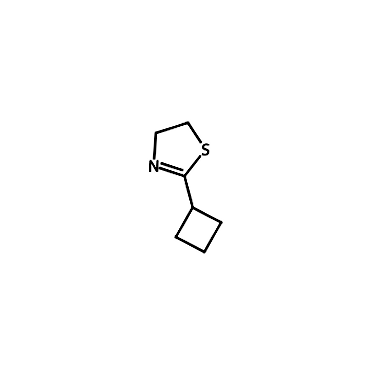 C1CC(C2=NCCS2)C1